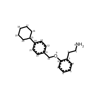 NCCc1ccccc1OCc1ccc(C2CCCCC2)cc1